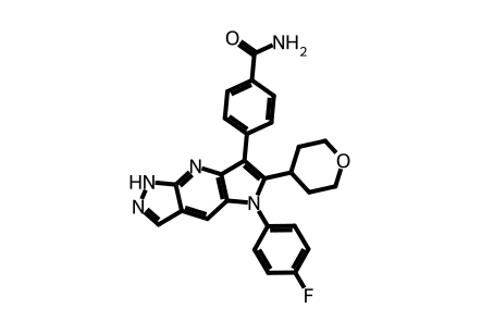 NC(=O)c1ccc(-c2c(C3CCOCC3)n(-c3ccc(F)cc3)c3cc4cn[nH]c4nc23)cc1